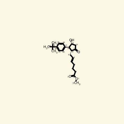 COC(=O)CCCC=CC[C@H]1C(=O)C[C@@H](O)[C@@H]1c1ccc(C(C)(C)C)cc1